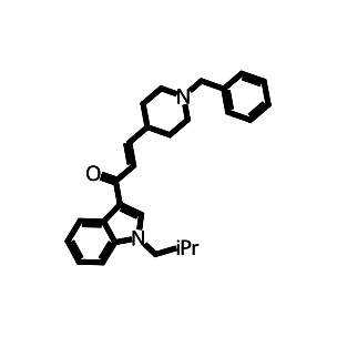 CC(C)Cn1cc(C(=O)/C=C/C2CCN(Cc3ccccc3)CC2)c2ccccc21